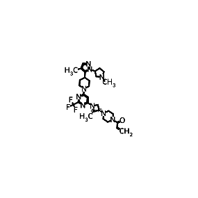 C=CC(=O)N1CCN([C@@H]2CN(c3cc(N4CCC(c5c(C)cnn5C5CCN(C)C5)CC4)nc(C(F)(F)F)n3)[C@@H]2C)CC1